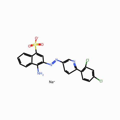 Nc1c(N=Nc2ccc(-c3ccc(Cl)cc3Cl)nc2)cc(S(=O)(=O)[O-])c2ccccc12.[Na+]